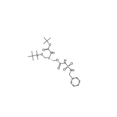 CC(C)(C)OC(=O)N[C@H](COC(=O)NS(=O)(=O)NCc1ccccc1)CO[Si](C)(C)C(C)(C)C